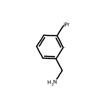 CC(C)c1[c]c(CN)ccc1